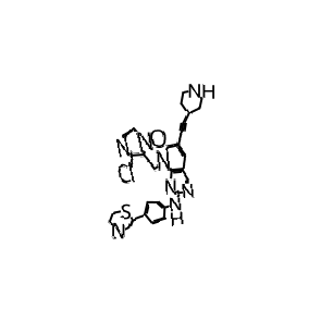 CN1CCSC(c2ccc(Nc3ncc4cc(C#CC5CCNCC5)c(=O)n(Cc5nccnc5Cl)c4n3)cc2)C1